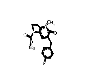 Cn1c2c(cc(Cc3ccc(F)cc3)c1=O)N(C(=O)OC(C)(C)C)CC2